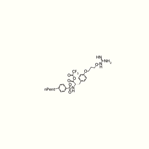 CCCCCc1ccc(S(=O)(=O)N[C@@H](Cc2ccc(OCCCONC(=N)N)cc2)C(=O)OC(=O)C(F)(F)F)cc1